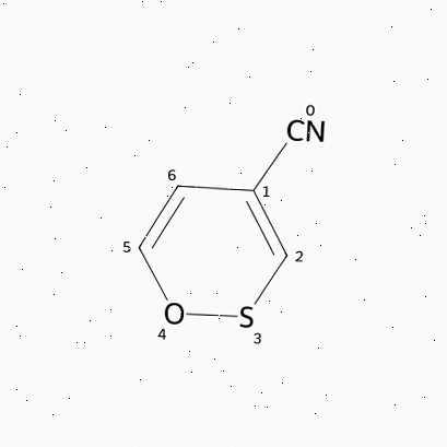 N#CC1=CSOC=C1